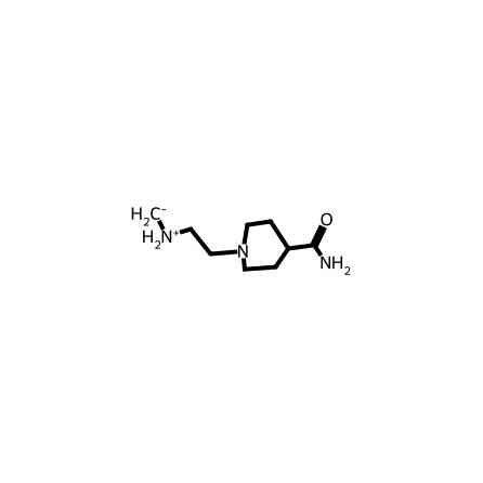 [CH2-][NH2+]CCN1CCC(C(N)=O)CC1